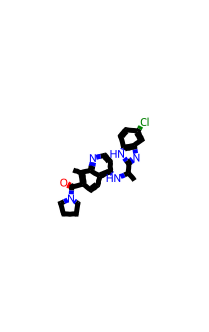 Cc1c(C(=O)N2CCCC2)ccc2c(NC(C)c3nc4cc(Cl)ccc4[nH]3)ccnc12